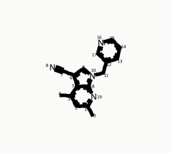 Cc1cc(C)c2c(C#N)cn(Cc3cccnc3)c2n1